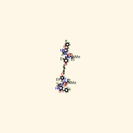 CCc1cc(OCC#CC#CCOc2ccc(C[C@H](NC(=O)[C@H](CC)NC)C(=O)N3CC(C)(C)c4[nH]c(=O)c(Cc5ccc(F)cc5)cc43)c(CC)c2)ccc1C[C@H](NC(=O)[C@H](CC)NC)C(=O)N1CC(C)(C)c2[nH]c(=O)c(Cc3ccc(F)cc3)cc21